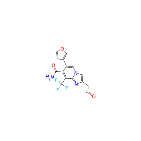 NC(=O)c1c(-c2ccoc2)cn2cc(C[C]=O)nc2c1C(F)(F)F